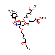 COC(=O)CCCCOCC(COCCCCC(=O)OC)(COCCCCC(=O)OC)NS(=O)(=O)c1ccc(C)cc1